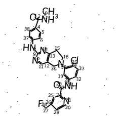 CNC(=O)c1ccc(Nc2ncc3c(n2)CCN(c2cc(NC(=O)c4cc(CF)ccn4)ccc2Cl)C3)cc1